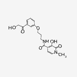 Cn1ccc(C(=O)NCCCOc2cccc(C(=O)CO)c2)c(O)c1=O